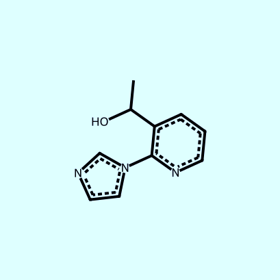 CC(O)c1cccnc1-n1ccnc1